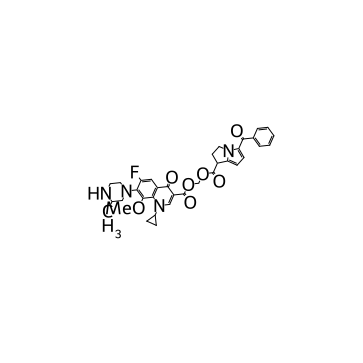 COc1c(N2CCNC(C)C2)c(F)cc2c(=O)c(C(=O)OCOC(=O)C3CCn4c(C(=O)c5ccccc5)ccc43)cn(C3CC3)c12